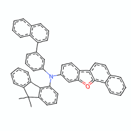 CC1(C)c2ccccc2-c2c(N(c3cccc(-c4cccc5ccccc45)c3)c3ccc4c(c3)oc3c5ccccc5ccc43)cccc21